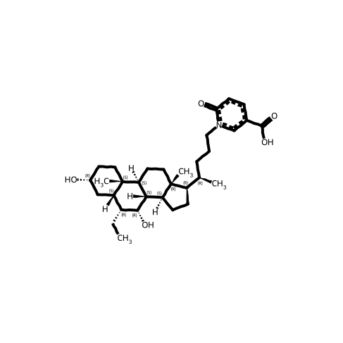 CC[C@H]1[C@@H](O)[C@@H]2[C@H](CC[C@]3(C)[C@@H]([C@H](C)CCCn4cc(C(=O)O)ccc4=O)CC[C@@H]23)[C@@]2(C)CC[C@@H](O)C[C@@H]12